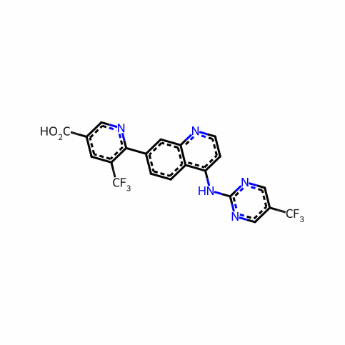 O=C(O)c1cnc(-c2ccc3c(Nc4ncc(C(F)(F)F)cn4)ccnc3c2)c(C(F)(F)F)c1